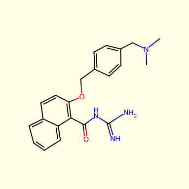 CN(C)Cc1ccc(COc2ccc3ccccc3c2C(=O)NC(=N)N)cc1